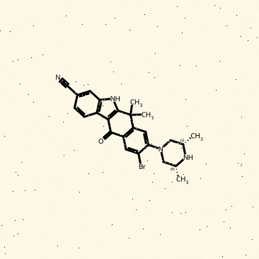 C[C@@H]1CN(c2cc3c(cc2Br)C(=O)c2c([nH]c4cc(C#N)ccc24)C3(C)C)C[C@H](C)N1